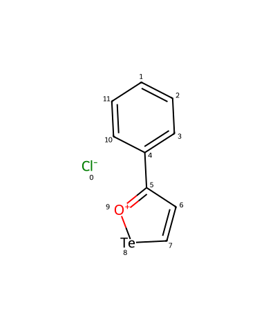 [Cl-].c1ccc(-c2cc[te][o+]2)cc1